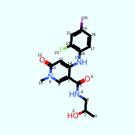 CC(O)CNC(=O)c1cn(C)c(=O)cc1Nc1ccc(I)cc1F